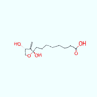 C=C1[C@@H](O)CO[C@@]1(O)CCCCCCCC(=O)O